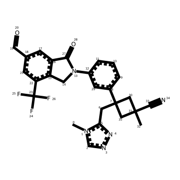 Cn1cnnc1CC1(c2cccc(N3Cc4c(cc(C=O)cc4C(F)(F)F)C3=O)c2)CC(C)(C#N)C1